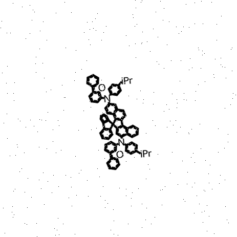 CC(C)c1ccc(N(c2ccc3c4c(ccc3c2)-c2c(cc(N(c3ccc(C(C)C)cc3)c3cccc5c3oc3ccccc35)c3ccccc23)C42c3ccccc3-c3ccccc32)c2cccc3c2oc2ccccc23)cc1